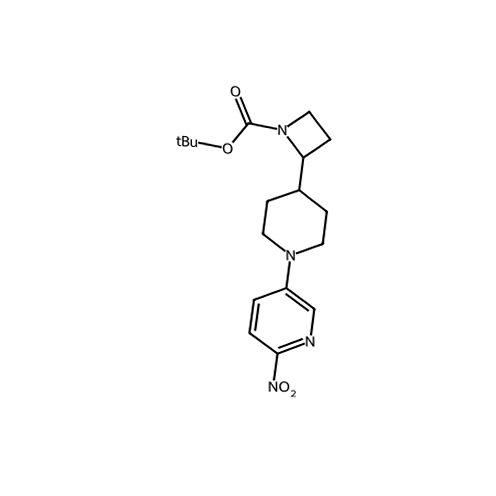 CC(C)(C)OC(=O)N1CCC1C1CCN(c2ccc([N+](=O)[O-])nc2)CC1